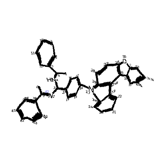 C/C(=N\C(NC(C)c1ccccc1)c1ccc(-n2c3ccccc3c3c4c(ccc32)oc2ccccc24)cc1)c1ccccc1